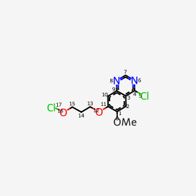 COc1cc2c(Cl)ncnc2cc1OCCCOCl